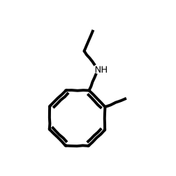 CCNC1=C(C)/C=C\C=C/C=C\1